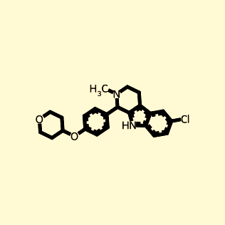 CN1CCc2c([nH]c3ccc(Cl)cc23)C1c1ccc(OC2CCOCC2)cc1